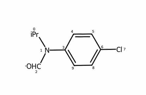 CC(C)N([C]=O)c1ccc(Cl)cc1